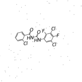 O=C(NC(=O)c1ccccc1Cl)Nc1cc(Cl)c(F)c(Cl)c1F